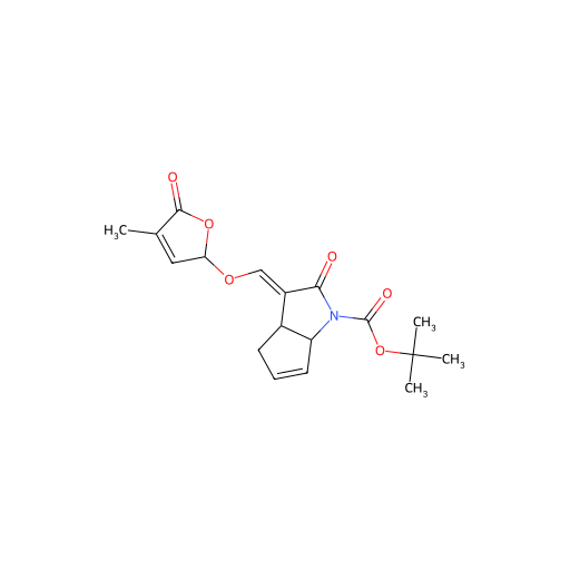 CC1=CC(O/C=C2/C(=O)N(C(=O)OC(C)(C)C)C3C=CCC23)OC1=O